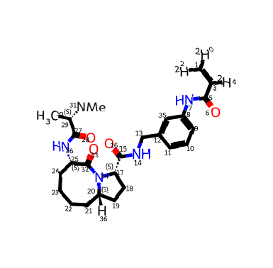 [2H]C([2H])=C([2H])C(=O)Nc1cccc(CNC(=O)[C@@H]2CC[C@@H]3CCCC[C@H](NC(=O)[C@H](C)NC)C(=O)N32)c1